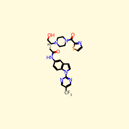 O=C(C[C@H](CO)N1CCN(C(=O)c2nccs2)CC1)Nc1ccc2c(ccn2-c2ncc(C(F)(F)F)cn2)c1